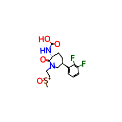 C[S+]([O-])CCN1C[C@H](c2cccc(F)c2F)CC[C@@H](NC(=O)O)C1=O